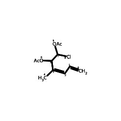 C=C/C=C(/C)C(OC(C)=O)C(Cl)OC(C)=O